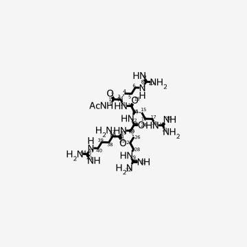 CC(=O)NC(=O)[C@H](CCCNC(=N)N)NC(=O)[C@H](CCCNC(=N)N)NC(=O)[C@H](CCCNC(=N)N)NC(=O)[C@@H](N)CCCNC(=N)N